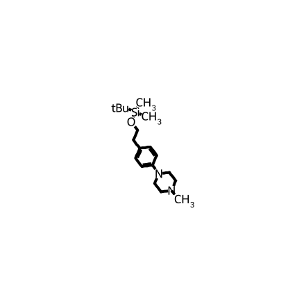 CN1CCN(c2ccc(CCO[Si](C)(C)C(C)(C)C)cc2)CC1